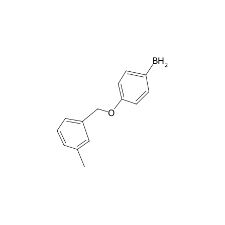 Bc1ccc(OCc2cccc(C)c2)cc1